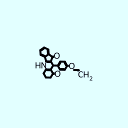 C=CCOc1ccc(C2C3=C(CCCC3=O)NC3=C2C(=O)c2ccccc23)cc1